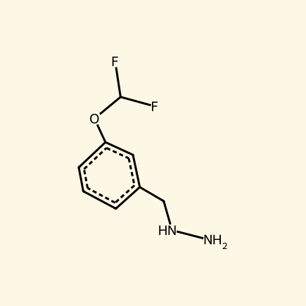 NNCc1cccc(OC(F)F)c1